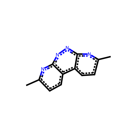 Cc1ccc2c(nnc3nc(C)ccc32)n1